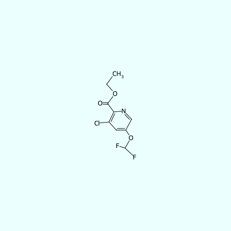 CCOC(=O)c1ncc(OC(F)F)cc1Cl